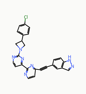 Clc1ccc(C2CN(c3nccc(-c4nccc(C#Cc5ccc6[nH]ncc6c5)n4)n3)C2)cc1